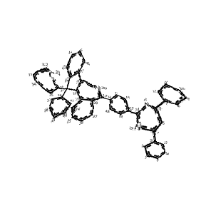 c1ccc(-c2cc(-c3ccccc3)nc(-c3ccc(-c4nc5c(c6ccccc46)C(c4ccccc4)(c4ccccc4)c4ccccc4-5)cc3)n2)cc1